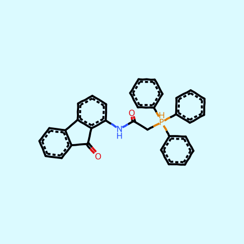 O=C(C[PH](c1ccccc1)(c1ccccc1)c1ccccc1)Nc1cccc2c1C(=O)c1ccccc1-2